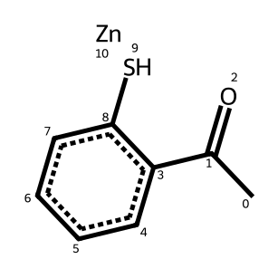 CC(=O)c1ccccc1S.[Zn]